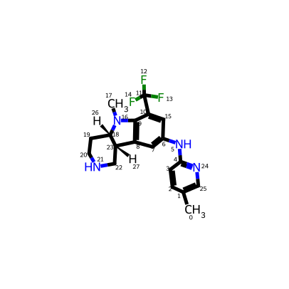 Cc1ccc(Nc2cc3c(c(C(F)(F)F)c2)N(C)[C@H]2CCNC[C@@H]32)nc1